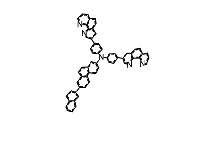 c1ccc2cc(-c3ccc4c(ccc5cc(N(c6ccc(-c7cnc8c(ccc9cccnc98)c7)cc6)c6ccc(-c7cnc8c(ccc9cccnc98)c7)cc6)ccc54)c3)ccc2c1